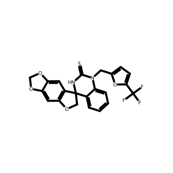 FC(F)(F)c1ccc(CN2C(=S)NC3(COc4cc5c(cc43)OCO5)c3ccccc32)o1